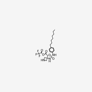 CCCCCCCCc1ccc(NS(=O)(=O)NC2(CC(=O)OC(=O)C(F)(F)F)CNC2)cc1